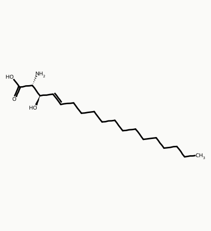 CCCCCCCCCCCCC/C=C/[C@@H](O)[C@@H](N)C(=O)O